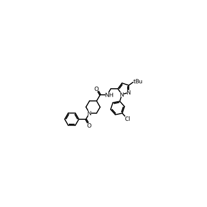 CC(C)(C)c1cc(CNC(=O)C2CCN(C(=O)c3ccccc3)CC2)n(-c2cccc(Cl)c2)n1